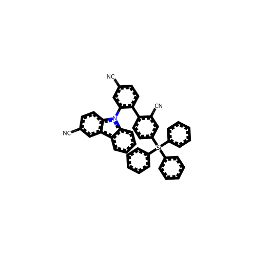 N#Cc1ccc(-c2ccc([Si](c3ccccc3)(c3ccccc3)c3ccccc3)cc2C#N)c(-n2c3ccccc3c3cc(C#N)ccc32)c1